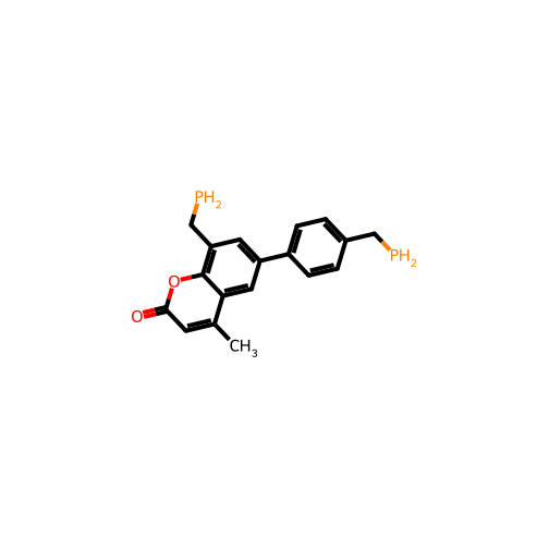 Cc1cc(=O)oc2c(CP)cc(-c3ccc(CP)cc3)cc12